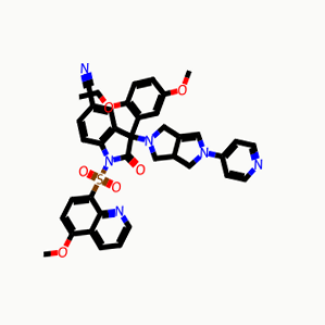 CCOc1ccc(OC)cc1C1(N2CC3=CN(c4ccncc4)CC3C2)C(=O)N(S(=O)(=O)c2ccc(OC)c3cccnc23)c2ccc(C#N)cc21